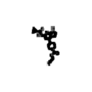 N#CCOC(=O)N1CC=C(c2cc(NC(=O)C3CC3)nc3[nH]ccc23)CC1